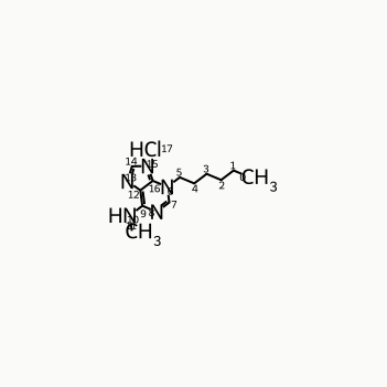 CCCCCCn1cnc(NC)c2ncnc1-2.Cl